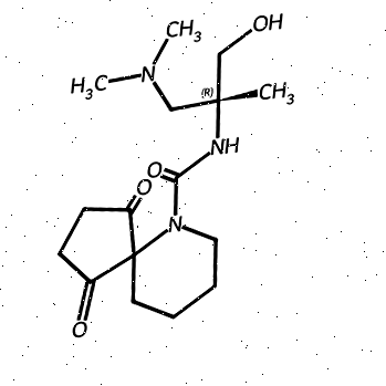 CN(C)C[C@](C)(CO)NC(=O)N1CCCCC12C(=O)CCC2=O